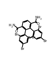 NC(=O)c1ccc(C(N)=O)c(-c2c(Br)cc(Br)cc2Br)c1-c1c(Br)cc(Br)cc1Br